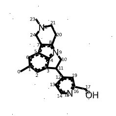 Cc1cc2c3c(c1)c1c(n3CC2c2ccnc(CO)c2)CCN(C)C1